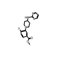 COC(=O)c1ccc(F)c(N2CCC(Nc3ncccn3)CC2)c1